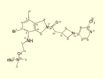 Cc1cc(Br)c(NCCO[Si](C)(C)C(C)(C)C)c2c1CN(C(=O)CC1CN(c3ccnc(C(F)(F)F)c3)C1)C2